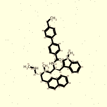 CCc1ccc(-c2ccc(C(=O)N[C@@H](Cc3cn(C)c4ccccc34)CN(C)[C@@H](CNC)Cc3ccc4ccccc4c3)cc2)cc1